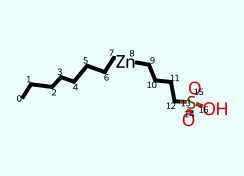 CCCCCCC[CH2][Zn][CH2]CCCS(=O)(=O)O